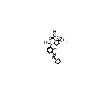 CC1(C)CC[C@H](C(O)c2cccc(/N=N/N3CCCC3)c2F)N1C(=O)O